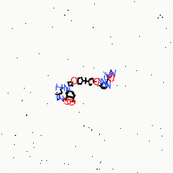 CCCC(C)N(C)C(=O)c1cc(N[C@H]2C[C@@H](Oc3ccc(C(C)(C)c4ccc(OCc5ccnc(-c6nc(C)no6)n5)cc4)cc3)C2)ccc1C=O